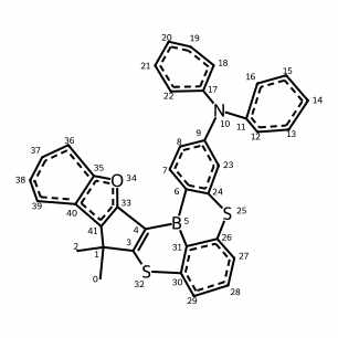 CC1(C)C2=C(B3c4ccc(N(c5ccccc5)c5ccccc5)cc4Sc4cccc(c43)S2)c2oc3ccccc3c21